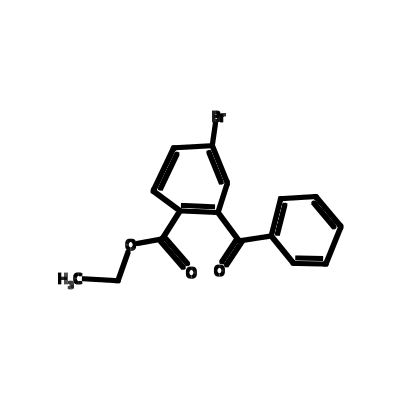 CCOC(=O)c1ccc(Br)cc1C(=O)c1ccccc1